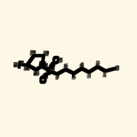 CCCCCCCCS(=O)(=O)N1CCC(F)C1